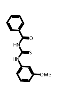 COc1cccc(NC(=S)NC(=O)c2ccccc2)c1